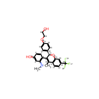 C=Nc1cc(O)ccc1C1=C(C)c2ccc(C(F)(F)F)cc2O[C@@H]1c1ccc(OCCO)cc1